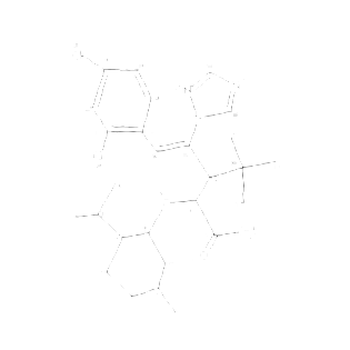 CC1CCC(C(C)C)C(OC(C(=O)O)C(C(=Cc2ccc(Cl)cc2Cl)n2cncn2)C(C)(C)C)C1